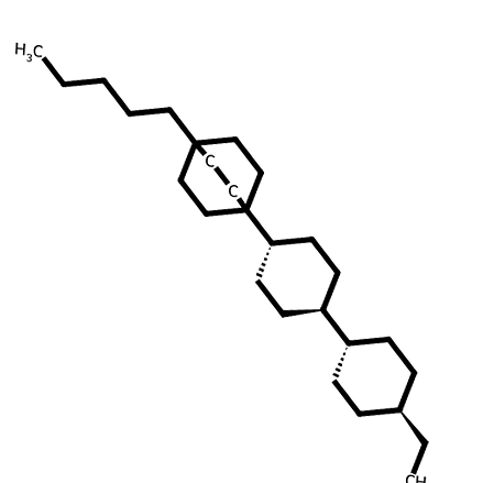 CCCCCC12CCC([C@H]3CC[C@H]([C@H]4CC[C@H](CC)CC4)CC3)(CC1)CC2